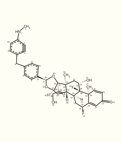 CNc1c#cc(Cc2ccc([C@@H]3O[C@@H]4C[C@H]5[C@@H]6C[C@H](F)C7=CC(=O)C=C[C@]7(C)[C@@]6(F)[C@@H](O)C[C@]5(C)[C@]4(C(=O)CO)O3)cc2)cc1